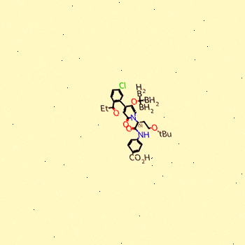 BC(B)(B)Oc1cn([C@@H](CCOC(C)(C)C)C(=O)Nc2ccc(C(=O)O)cc2)c(=O)cc1-c1cc(Cl)ccc1C(=O)CC